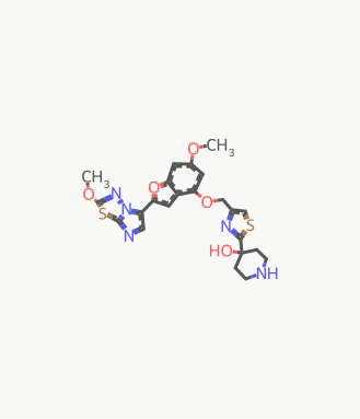 COc1cc(OCc2csc(C3(O)CCNCC3)n2)c2cc(-c3cnc4sc(OC)nn34)oc2c1